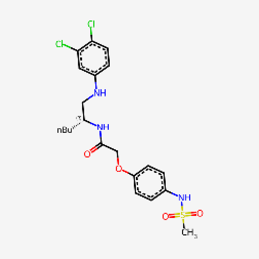 CCCC[C@H](CNc1ccc(Cl)c(Cl)c1)NC(=O)COc1ccc(NS(C)(=O)=O)cc1